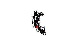 CCOc1cc(-c2cnc(N3[C@@H]4C[C@@H]5C[C@H]3C[C@@](NC(=O)c3ccc(OC)nc3)(C5)C4)cn2)c2c(C#N)cnn2c1